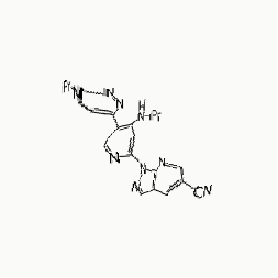 CC(C)Nc1cc(-n2ncc3cc(C#N)cnc32)ncc1-c1cn(C(C)C)nn1